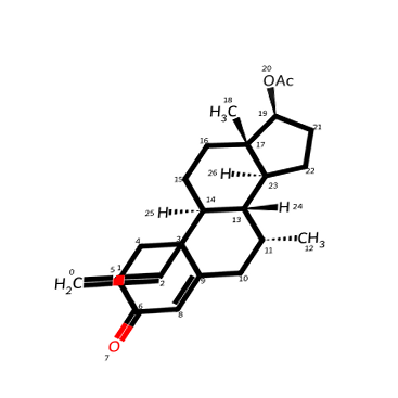 C=C=CC12CCC(=O)C=C1C[C@@H](C)[C@@H]1[C@@H]2CC[C@]2(C)[C@@H](OC(C)=O)CC[C@@H]12